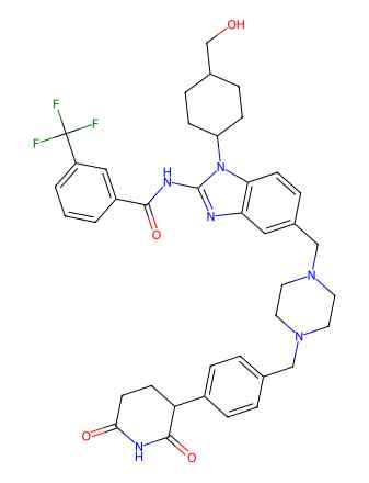 O=C1CCC(c2ccc(CN3CCN(Cc4ccc5c(c4)nc(NC(=O)c4cccc(C(F)(F)F)c4)n5C4CCC(CO)CC4)CC3)cc2)C(=O)N1